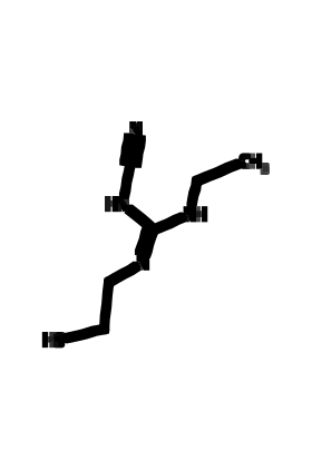 CCN/C(=N/CCS)NC#N